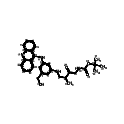 CC(CNc1cc(CO)cc(Nc2c3ccccc3nc3ccccc23)c1)C(=O)CNC(=O)OC(C)(C)C